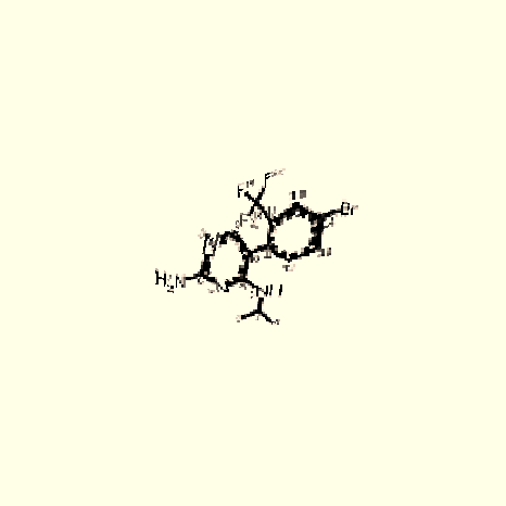 CC(C)Nc1nc(N)ncc1-c1ccc(Br)cc1C(F)(F)F